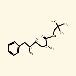 C[C@H](C[C@H](O)[C@@H](N)Cc1ccccc1)C(=O)NCC(C)(C)C